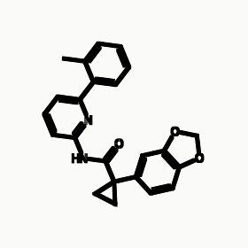 Cc1ccccc1-c1cccc(NC(=O)C2(c3ccc4c(c3)OCO4)CC2)n1